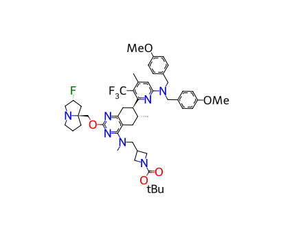 COc1ccc(CN(Cc2ccc(OC)cc2)c2cc(C)c(C(F)(F)F)c([C@@H]3Cc4nc(OC[C@@]56CCCN5C[C@H](F)C6)nc(N(C)CC5CN(C(=O)OC(C)(C)C)C5)c4C[C@H]3C)n2)cc1